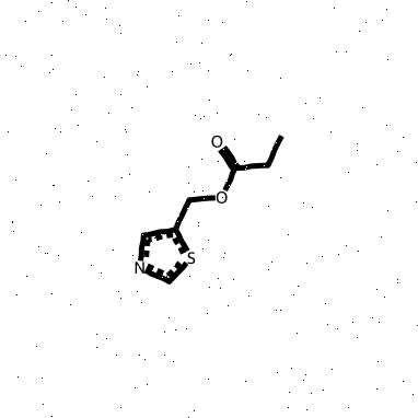 CCC(=O)OCc1cncs1